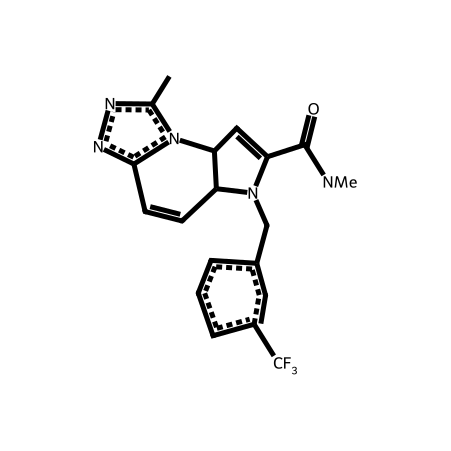 CNC(=O)C1=CC2C(C=Cc3nnc(C)n32)N1Cc1cccc(C(F)(F)F)c1